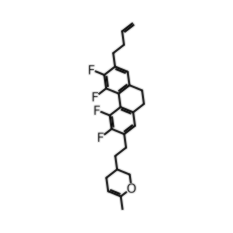 C=CCCc1cc2c(c(F)c1F)-c1c(cc(CCC3CC=C(C)OC3)c(F)c1F)CC2